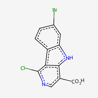 O=C(O)c1cnc(Cl)c2c1[nH]c1cc(Br)ccc12